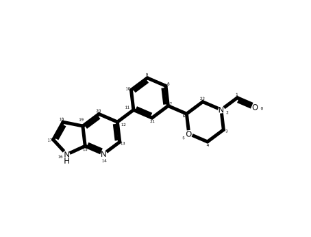 O=CN1CCOC(c2cccc(-c3cnc4[nH]ccc4c3)c2)C1